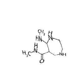 CNC(=O)C1CNCCNC1NC